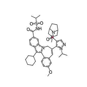 COc1ccc2c(c1)C=C(c1c(C(=O)N3C4CCC3CN(C)C4)cnn1C(C)C)Cn1c-2c(C2CCCCC2)c2ccc(C(=O)NS(=O)(=O)C(C)C)cc21